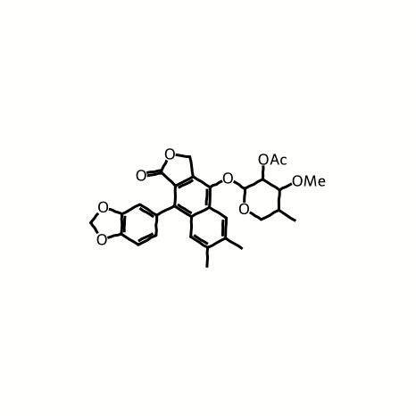 COC1C(C)COC(Oc2c3c(c(-c4ccc5c(c4)OCO5)c4cc(C)c(C)cc24)C(=O)OC3)C1OC(C)=O